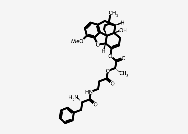 COc1ccc2c3c1O[C@H]1C(OC(=O)[C@H](C)OC(=O)CCNC(=O)[C@@H](N)Cc4ccccc4)=CC[C@@]4(O)[C@@H](C2)C(C)CC[C@]314